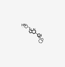 C[C@H]1C[C@H](Cn2ccc3cc(-c4cnn(C5CCCCO5)c4)cnc32)CN1